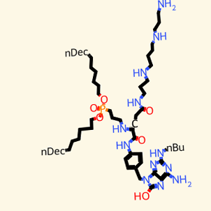 CCCCCCCCCCCCCCCCOP(=O)(CCCN[C@@H](CCC(=O)NCCCNCCCCNCCCN)C(=O)Nc1ccc(Cn2c(O)nc3c(N)nc(NCCCC)nc32)cc1)OCCCCCCCCCCCCCCCC